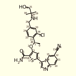 C[C@@H](Oc1cc(-c2cnc3ccc(C#N)cn23)sc1C(N)=O)c1ccc(CNC(C)(C)CO)cc1Cl